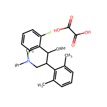 COC(c1c(F)cccc1F)C(CN(C)C(C)C)c1c(C)cccc1C.O=C(O)C(=O)O